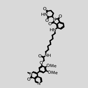 COc1cc(-c2cn(C)c(=O)c3cnccc23)cc(OCC(=O)NCCCCCCCCNc2cccc3c2C(=O)N(C2CCC(=O)NC2=O)C3=O)c1OC